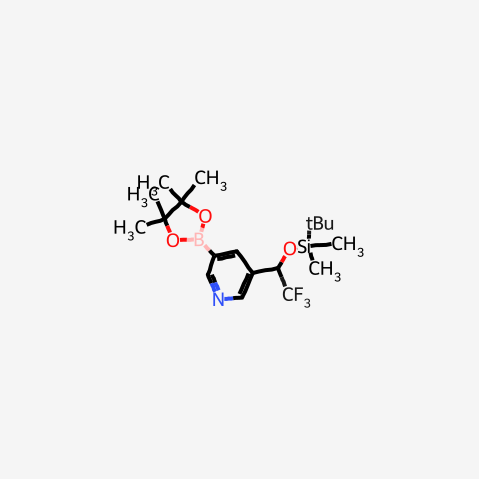 CC1(C)OB(c2cncc(C(O[Si](C)(C)C(C)(C)C)C(F)(F)F)c2)OC1(C)C